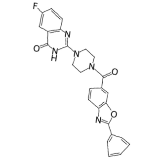 O=C(c1ccc2nc(-c3ccccc3)oc2c1)N1CCN(c2nc3ccc(F)cc3c(=O)[nH]2)CC1